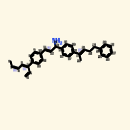 C=C/C(=C\C=C/C)c1ccc(/C=C/C(N)c2ccc(/C(C)=C/CCc3ccccc3)cc2)cc1